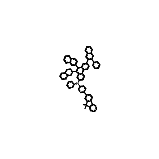 CC1(C)c2ccccc2-c2ccc(-c3ccc(N(c4ccccc4)c4ccc5c(c4)c(-c4ccc6ccccc6c4)c(-c4ccc6ccccc6c4)c4cc(-c6cc7ccccc7cc6-c6ccccc6)ccc45)cc3)cc21